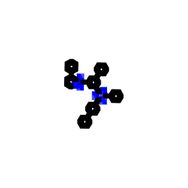 c1ccc(-c2ccc(-c3nc(-c4ccccc4)nc(-c4cc(-c5ccccc5)cc(-c5nc6c(-c7ccccc7)cccn6n5)c4)n3)cc2)cc1